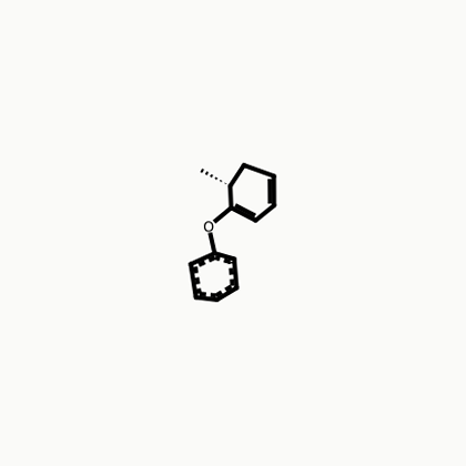 C[C@@H]1CC=CC=C1Oc1ccccc1